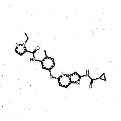 CCn1nccc1C(=O)Nc1cc(Oc2ccc3nc(NC(=O)C4CC4)cn3n2)ccc1C